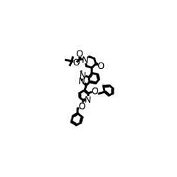 Cn1nc(-c2ccc(OCc3ccccc3)nc2OCc2ccccc2)c2cccc(C3CN(C(=O)OC(C)(C)C)CCC3=O)c21